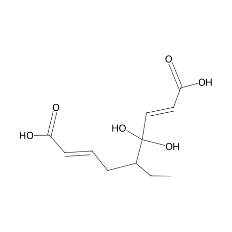 CCC(CC=CC(=O)O)C(O)(O)C=CC(=O)O